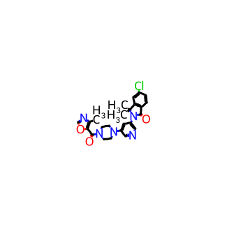 Cc1ncoc1C(=O)N1CCN(c2cncc(N3C(=O)c4ccc(Cl)cc4C3(C)C)c2)CC1